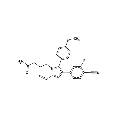 COc1ccc(-c2c(-c3ccc(C#N)c(F)c3)cc(C=O)n2CCCC(N)=O)cc1